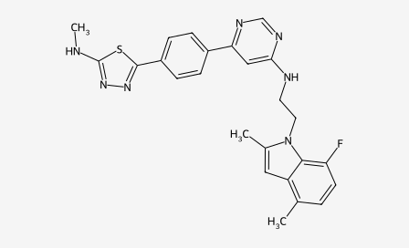 CNc1nnc(-c2ccc(-c3cc(NCCn4c(C)cc5c(C)ccc(F)c54)ncn3)cc2)s1